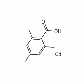 Cc1cc(C)c(C(=O)O)c(C)c1.[Cd]